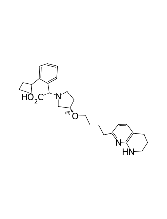 O=C(O)C(c1ccccc1C1CCC1)N1CC[C@@H](OCCCCc2ccc3c(n2)NCCC3)C1